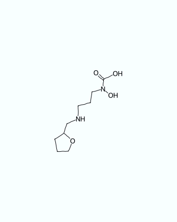 O=C(O)N(O)CCCNCC1CCCO1